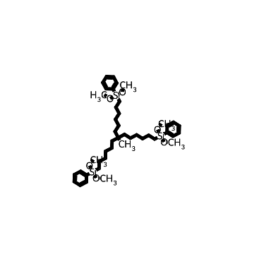 CO[Si](CCCCCCC(C)(CCCCCC[Si](OC)(OC)c1ccccc1)CCCCCC[Si](OC)(OC)c1ccccc1)(OC)c1ccccc1